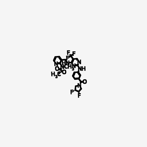 CN(c1ncccc1CNc1nc(Nc2cccc(C(=O)N3C[C@@H](F)[C@H](F)C3)c2)ncc1C(F)(F)F)S(C)(=O)=O